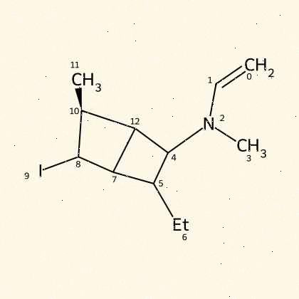 C=CN(C)C1C(CC)C2C(I)[C@@H](C)C21